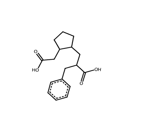 O=C(O)CC1CCCC1CC(Cc1ccccc1)C(=O)O